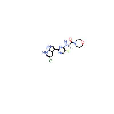 C[C@H](Nc1nc(C2=CNC3NC=C(Cl)C=C23)ncc1F)C(=O)N1CCCOCC1